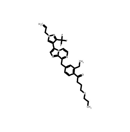 C=CCn1cc(-c2cnc3c(Cc4ccc(C(=O)CCCOCCC)c(CC)c4)nccn23)c(C(F)(F)F)n1